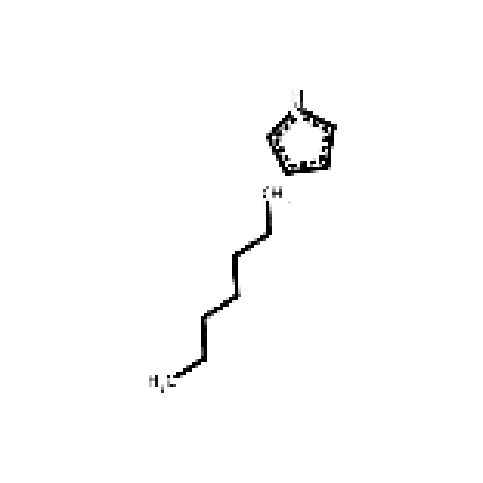 CCCCCCC.c1cc[nH]c1